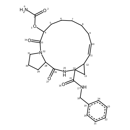 NC(=O)OC1CCCCCC=CC2CC2(C(=O)NCc2ccccc2)NC(=O)C2CCCN2C1=O